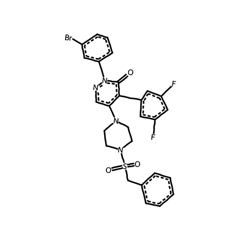 O=c1c(-c2cc(F)cc(F)c2)c(N2CCN(S(=O)(=O)Cc3ccccc3)CC2)cnn1-c1cccc(Br)c1